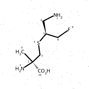 C[C@](N)(CS[C@@H](CN)CF)C(=O)O